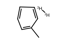 Cc1ccccc1.[2H][2H]